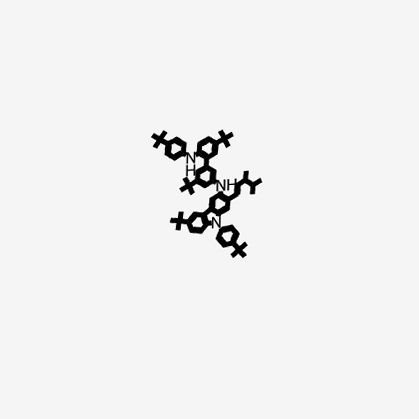 CC(C)C(C)/C=C/c1cc2c(cc1Nc1cc(-c3cc(C(C)(C)C)ccc3Nc3ccc(C(C)(C)C)cc3)cc(C(C)(C)C)c1)c1cc(C(C)(C)C)ccc1n2-c1ccc(C(C)(C)C)cc1